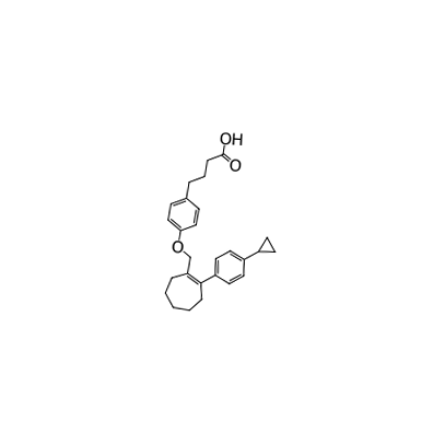 O=C(O)CCCc1ccc(OCC2=C(c3ccc(C4CC4)cc3)CCCCC2)cc1